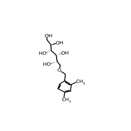 Cc1ccc(COC[C@H](O)[C@@H](O)[C@H](O)[C@H](O)CO)c(C)c1